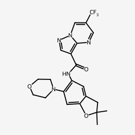 CC1(C)Cc2cc(NC(=O)c3cnn4cc(C(F)(F)F)cnc34)c(N3CCOCC3)cc2O1